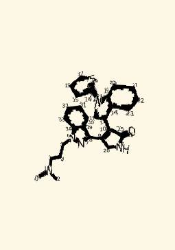 CN(C)CCCn1nc(C2=C(c3cn(-c4cccs4)c4ccccc34)C(=O)NC2)c2ccccc21